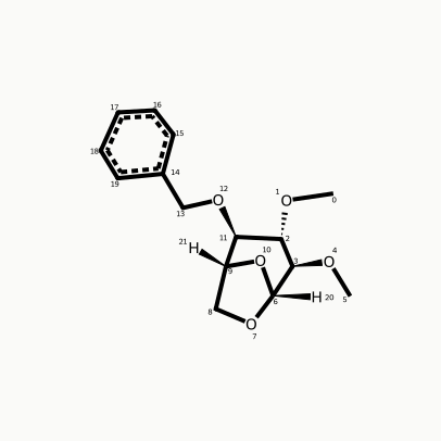 CO[C@@H]1[C@@H](OC)[C@@H]2OC[C@@H](O2)[C@H]1OCc1ccccc1